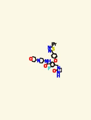 CC(C)c1nnc(-c2ccc(Oc3cc(C(=O)NC4CCN(C5CCOCC5)CC4)c(F)cc3CN3CCNC3=O)cc2)s1